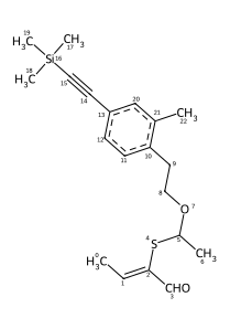 C/C=C(/C=O)SC(C)OCCc1ccc(C#C[Si](C)(C)C)cc1C